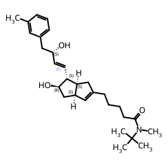 Cc1cccc(C[C@H](O)/C=C/[C@@H]2[C@H]3CC(CCCCC(=O)N(C)C(C)(C)C)=C[C@H]3C[C@H]2O)c1